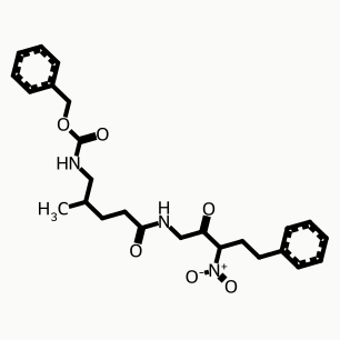 CC(CCC(=O)NCC(=O)C(CCc1ccccc1)[N+](=O)[O-])CNC(=O)OCc1ccccc1